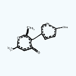 COc1ccc(-c2c(C)oc(C)cc2=O)cn1